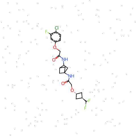 O=C(COc1ccc(Cl)c(F)c1)NC1CC2(NC(=O)CO[C@H]3C[C@H](C(F)F)C3)CC1C2